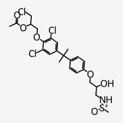 CC(=O)OC(CCl)COc1c(Cl)cc(C(C)(C)c2ccc(OCC(O)CN[S+](C)[O-])cc2)cc1Cl